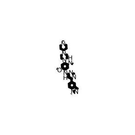 CNc1cc(Nc2cc(-c3ccc4c(cnn4C)c3)ncn2)c(OC)cc1N1CCN(C2CCN(C)CC2)CC1